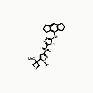 COC1(c2cc(S(=O)(=O)c3nnc(Nc4c5c(cc6c4CCC6)CCC5)[nH]3)nn2C(C)C)COC1